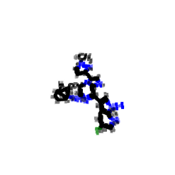 Cn1ccc(-c2cnc3c(-c4c[nH]c5ncc(F)cc45)nc(N[C@H]4C5CCC(CC5)[C@@H]4C(=O)O)cn23)n1